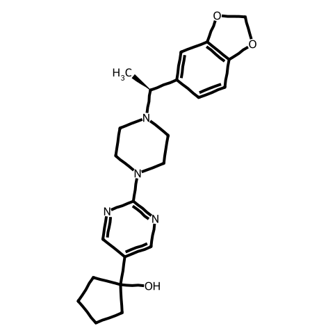 C[C@@H](c1ccc2c(c1)OCO2)N1CCN(c2ncc(C3(O)CCCC3)cn2)CC1